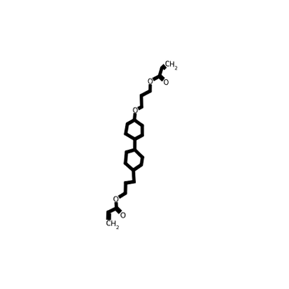 C=CC(=O)OCCCOC1CCC(C2CCC(CCCOC(=O)C=C)CC2)CC1